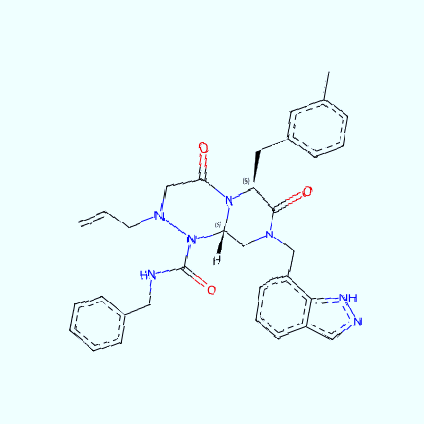 C=CCN1CC(=O)N2[C@@H](Cc3cccc(C)c3)C(=O)N(Cc3cccc4cn[nH]c34)C[C@@H]2N1C(=O)NCc1ccccc1